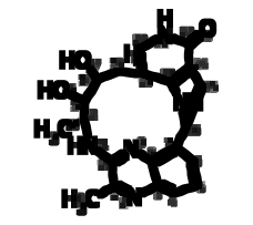 Cc1nc2cccc3c2nc1N[C@H](C)C(O)C(O)C[C@H]1CNC(=O)c2cc-3[nH]c21